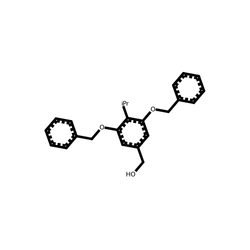 CC(C)c1c(OCc2ccccc2)cc(CO)cc1OCc1ccccc1